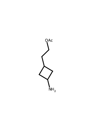 CC(=O)OCCC1CC(N)C1